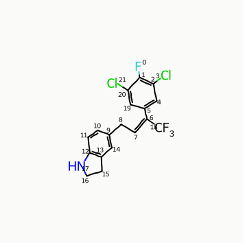 Fc1c(Cl)cc(C(=CCc2ccc3c(c2)CCN3)C(F)(F)F)cc1Cl